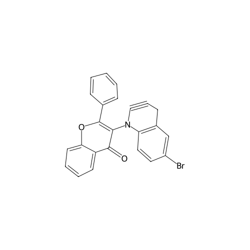 O=c1c(N2C#CCc3cc(Br)ccc32)c(-c2ccccc2)oc2ccccc12